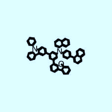 c1ccc(-n2c3ccccc3c3cc(-c4cc(-c5cccc6c5oc5ccccc56)cc(N(c5ccc(-c6cccc7ccccc67)cc5)c5cccc6ccccc56)c4)ccc32)cc1